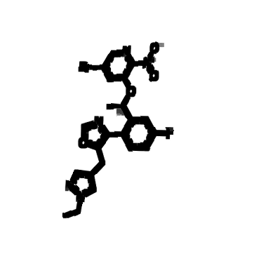 CCn1cc(Cc2ocnc2-c2ccc(F)cc2[C@@H](C)Oc2cc(Br)cnc2[N+](=O)[O-])cn1